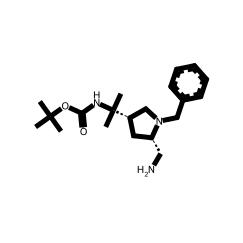 CC(C)(C)OC(=O)NC(C)(C)[C@H]1C[C@@H](CN)N(Cc2ccccc2)C1